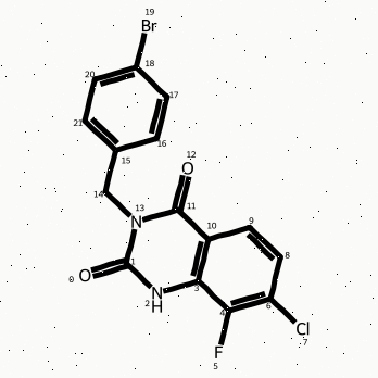 O=c1[nH]c2c(F)c(Cl)ccc2c(=O)n1Cc1ccc(Br)cc1